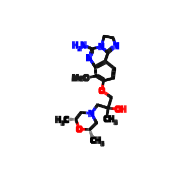 COc1c(OCC(C)(O)CN2C[C@@H](C)O[C@@H](C)C2)ccc2c1N=C(N)N1CCN=C21